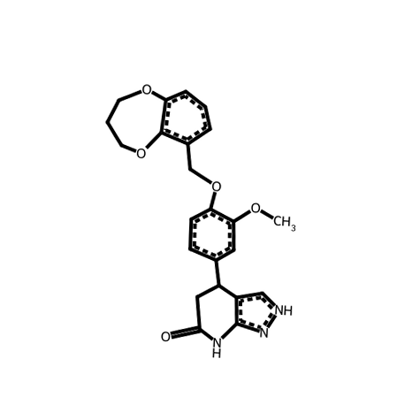 COc1cc(C2CC(=O)Nc3n[nH]cc32)ccc1OCc1cccc2c1OCCCO2